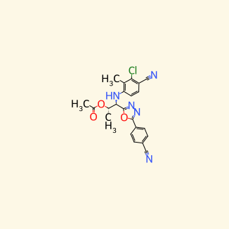 CC(=O)O[C@@H](C)[C@@H](Nc1ccc(C#N)c(Cl)c1C)c1nnc(-c2ccc(C#N)cc2)o1